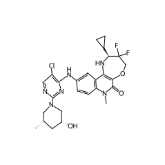 C[C@H]1C[C@@H](O)CN(c2ncc(Cl)c(Nc3ccc4c(c3)c3c(c(=O)n4C)OCC(F)(F)[C@H](C4CC4)N3)n2)C1